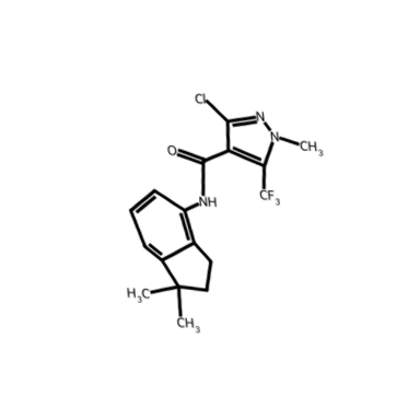 Cn1nc(Cl)c(C(=O)Nc2cccc3c2CCC3(C)C)c1C(F)(F)F